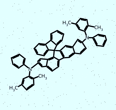 Cc1ccc(C)c(N(c2ccccc2)c2ccc3cc4c(cc3c2)C2(c3ccccc3-c3ccccc32)c2c-4ccc3cc(N(c4ccccc4)c4cc(C)ccc4C)ccc23)c1